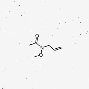 C=CCN(OC)C(C)=O